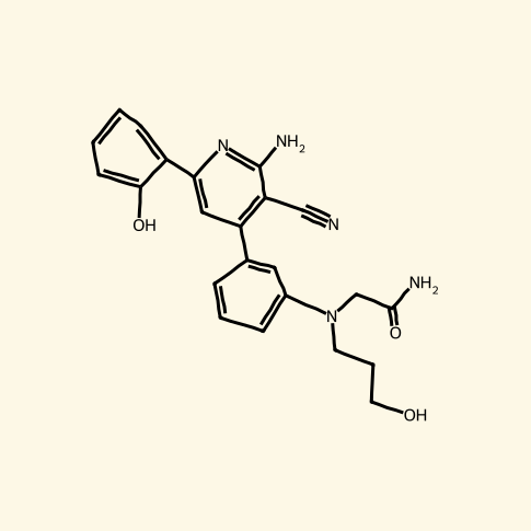 N#Cc1c(-c2cccc(N(CCCO)CC(N)=O)c2)cc(-c2ccccc2O)nc1N